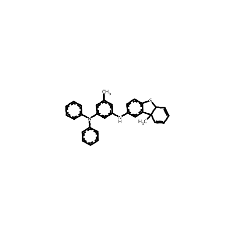 Cc1cc(Nc2ccc3c(c2)C2(C)C=CC=CC2S3)cc(N(c2ccccc2)c2ccccc2)c1